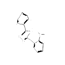 OB(O)c1ccccc1-c1nnc(-c2ccccc2)o1